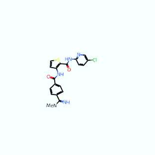 CNC(=N)c1ccc(C(=O)Nc2ccsc2C(=O)Nc2ccc(Cl)cn2)cc1